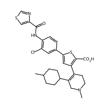 CC1CCC(C2=C(c3cc(-c4ccc(NC(=O)c5cscn5)c(Cl)c4)sc3C(=O)O)CCN(C)C2)CC1